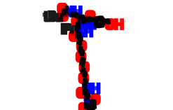 CC(C)C(NC(=O)CCOCCOCCOCCOCCNC(=O)CCN1C(=O)C=CC1=O)C(=O)NC(CCCCNC(=O)OC(C)(C)C)C(=O)Nc1ccc(CO)cc1